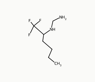 CCCCC(NCN)C(F)(F)F